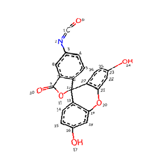 O=C=Nc1ccc2c(c1)C(=O)OC21c2ccc(O)cc2Oc2cc(O)ccc21